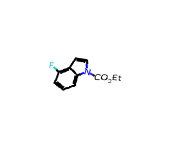 CCOC(=O)n1ccc2c(F)cccc21